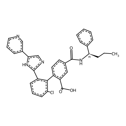 CCC[C@@H](NC(=O)c1ccc(-c2c(Cl)cccc2-c2ncc(-c3cccnc3)[nH]2)c(C(=O)O)c1)c1ccccc1